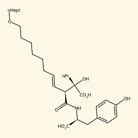 CCCCCCCOCCCCCC/C=C/[C@H](C(=O)N[C@@H](Cc1ccc(O)cc1)C(=O)O)[C@@](O)(CCC)C(=O)O